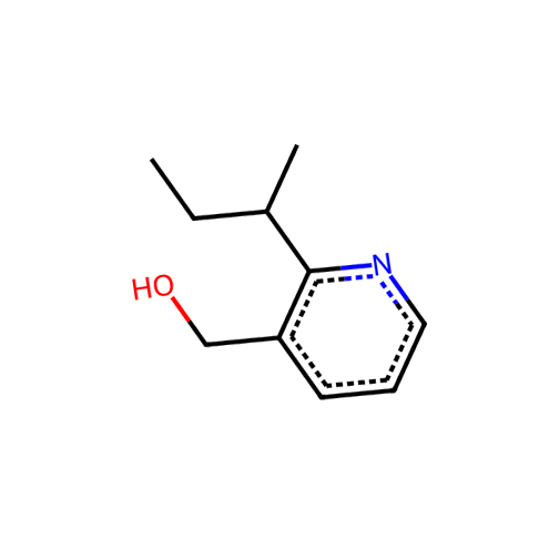 CCC(C)c1ncccc1CO